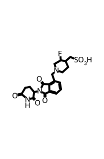 O=C1CCC(N2C(=O)c3cccc(CN4CCC(CS(=O)(=O)O)C(F)C4)c3C2=O)C(=O)N1